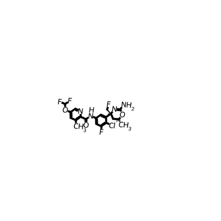 Cc1cc(OC(F)F)cnc1C(=O)Nc1cc(F)c(Cl)c([C@@]2(CF)C[C@@H](C)OC(N)=N2)c1